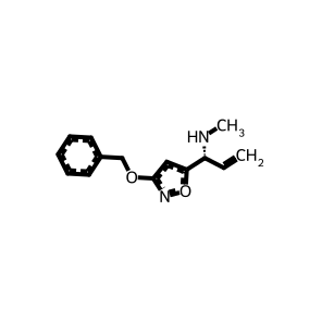 C=C[C@@H](NC)c1cc(OCc2ccccc2)no1